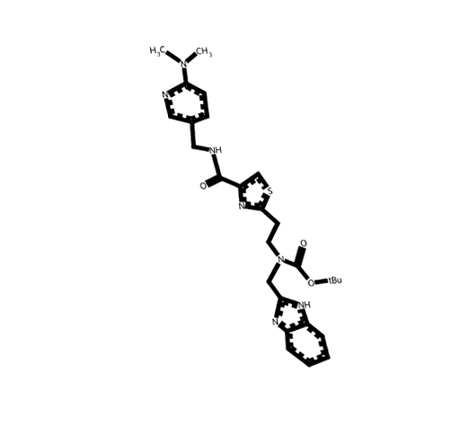 CN(C)c1ccc(CNC(=O)c2csc(CCN(Cc3nc4ccccc4[nH]3)C(=O)OC(C)(C)C)n2)cn1